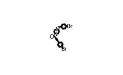 O=C(C#Cc1ccc(Br)cc1)N1CCN(Cc2ccc(Br)cc2)CC1